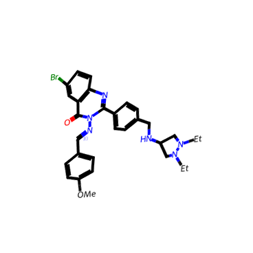 CCN1CC(NCc2ccc(-c3nc4ccc(Br)cc4c(=O)n3/N=C/c3ccc(OC)cc3)cc2)CN1CC